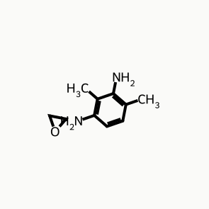 C1CO1.Cc1ccc(N)c(C)c1N